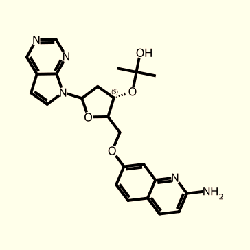 CC(C)(O)O[C@H]1CC(n2ccc3cncnc32)OC1COc1ccc2ccc(N)nc2c1